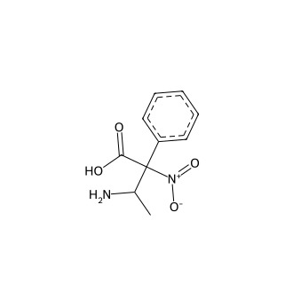 CC(N)C(C(=O)O)(c1ccccc1)[N+](=O)[O-]